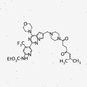 CCOC(=O)Nc1cc(C(F)(F)F)c(-c2nc(N3CCOCC3)c3cc(CN4CCN(C(=O)CCC(=O)C=C(C)C)CC4)cn3n2)cn1